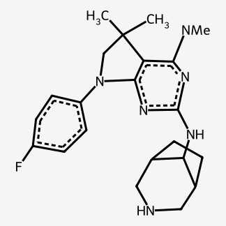 CNc1nc(NC2C3CCC2CNC3)nc2c1C(C)(C)CN2c1ccc(F)cc1